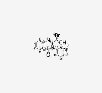 CC(Br)c1nc2ccccc2c(=O)n1-c1cccnc1